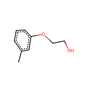 [CH2]c1cccc(OCCO)c1